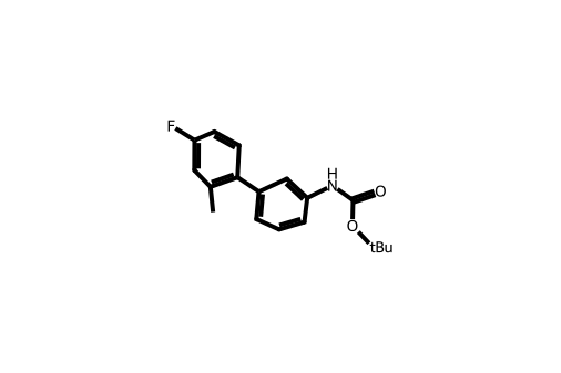 Cc1cc(F)ccc1-c1cccc(NC(=O)OC(C)(C)C)c1